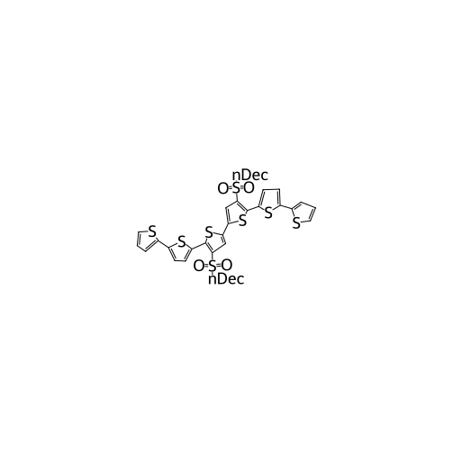 CCCCCCCCCCS(=O)(=O)c1cc(-c2cc(S(=O)(=O)CCCCCCCCCC)c(-c3ccc(-c4cccs4)s3)s2)sc1-c1ccc(-c2cccs2)s1